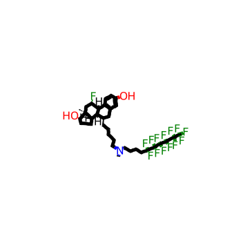 CN(CCCCC[C@@H]1Cc2cc(O)ccc2[C@@H]2[C@@H]1[C@@H]1CC[C@H](O)[C@@]1(C)C[C@@H]2F)CCCCC(F)(F)C(F)(F)C(F)(F)C(F)(F)C(F)(F)C(F)(F)F